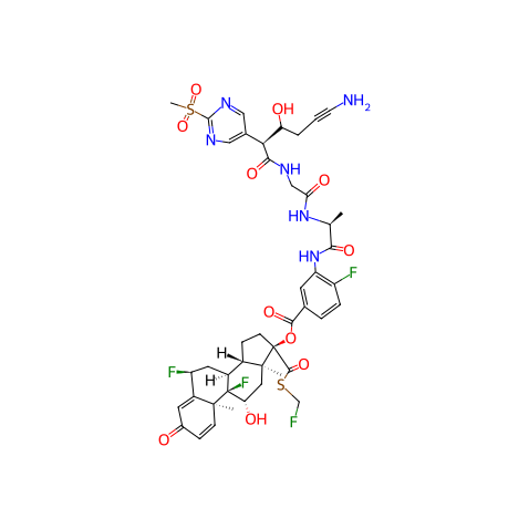 C[C@H](NC(=O)CNC(=O)[C@@H](c1cnc(S(C)(=O)=O)nc1)C(O)CC#CN)C(=O)Nc1cc(C(=O)O[C@]2(C(=O)SCF)CC[C@H]3[C@@H]4C[C@H](F)C5=CC(=O)C=C[C@]5(C)[C@@]4(F)[C@@H](O)C[C@@]32C)ccc1F